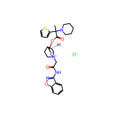 CC(C(=O)O[C@H]1C[N+]2(CC(=O)Nc3noc4ccccc34)CCC1CC2)(c1cccs1)N1CCCCC1.[Cl-]